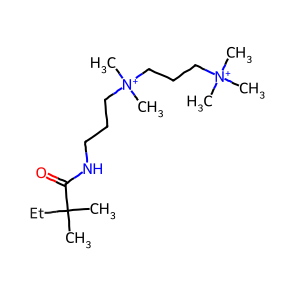 CCC(C)(C)C(=O)NCCC[N+](C)(C)CCC[N+](C)(C)C